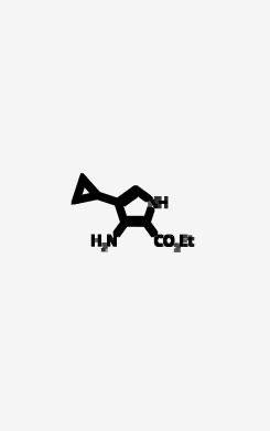 CCOC(=O)c1[nH]cc(C2CC2)c1N